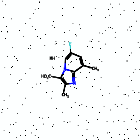 Cc1nc2c(C)cc(F)cn2c1C(=O)O.[KH]